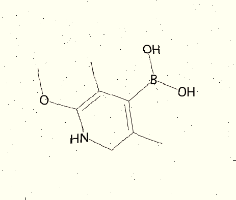 COC1=C(C)C(B(O)O)=C(C)CN1